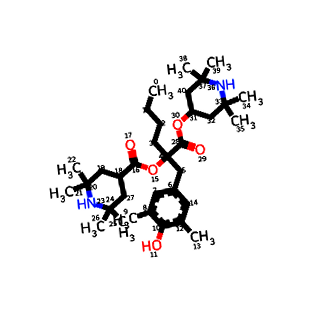 CCCCC(Cc1cc(C)c(O)c(C)c1)(OC(=O)C1CC(C)(C)NC(C)(C)C1)C(=O)OC1CC(C)(C)NC(C)(C)C1